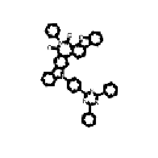 O=c1c2cc3c4ccccc4n(-c4ccc(-c5nc(-c6ccccc6)nc(-c6ccccc6)n5)cc4)c3cc2c2ccc3c4ccccc4oc3c2c(=O)n1-c1ccccc1